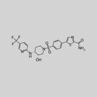 NC(=O)c1ncc(-c2ccc(S(=O)(=O)N3CC[C@@H](Nc4ccc(C(F)(F)F)cn4)[C@@H](O)C3)cc2)s1